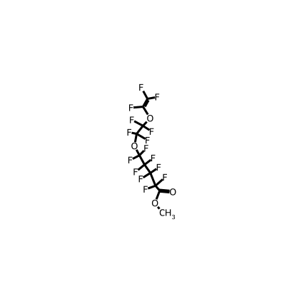 COC(=O)C(F)(F)C(F)(F)C(F)(F)C(F)(F)OC(F)(F)C(F)(F)OC(F)=C(F)F